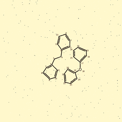 c1ccc(CCc2ccccc2)cc1.c1ccc(Oc2ccccc2)cc1